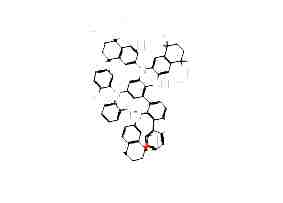 Cc1ccccc1N(c1cc(-c2ccc3sc4ccccc4c3c2Nc2ccc3c(c2)C(C)(C)CCC3(C)C)c2c(c1)N(c1ccc3c(c1)C(C)(C)CCC3(C)C)c1cc3c(cc1B2)C(C)(C)CCC3(C)C)c1ccccc1C